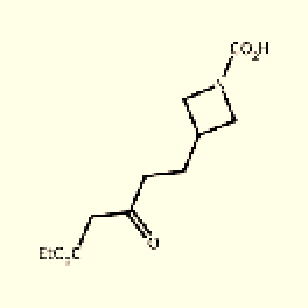 CCOC(=O)CC(=O)CCC1CN(C(=O)O)C1